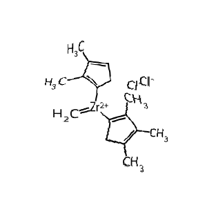 [CH2]=[Zr+2]([C]1=C(C)C(C)=CC1)[C]1=C(C)C(C)=C(C)C1.[Cl-].[Cl-]